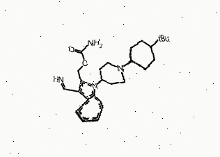 CC(C)(C)C1CCC(N2CCC(n3c(COC(N)=O)c(C=N)c4ccccc43)CC2)CC1